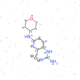 Cc1nc(NC2CCOCC2)ccc1NC(=N)N